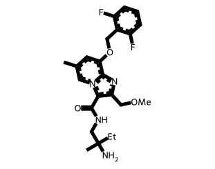 CCC(C)(N)CNC(=O)c1c(COC)nc2c(OCc3c(F)cccc3F)cc(C)cn12